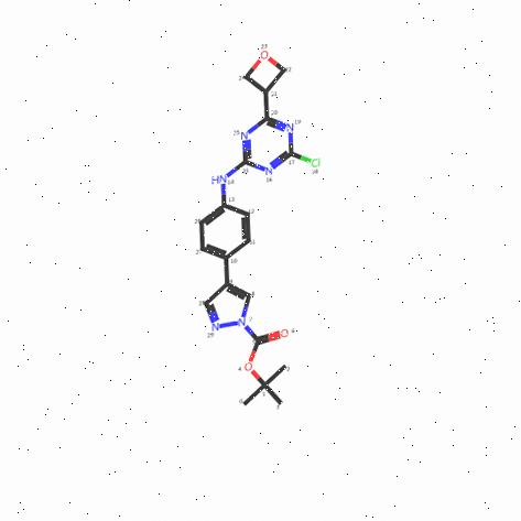 CC(C)(C)OC(=O)n1cc(-c2ccc(Nc3nc(Cl)nc(C4COC4)n3)cc2)cn1